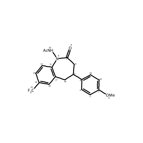 COc1ccc(C2CC(=O)N(NC(C)=O)c3ccc(C(F)(F)F)cc3C2)cc1